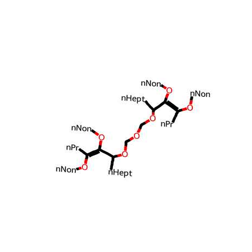 CCCCCCCCCOC(CCC)=C(OCCCCCCCCC)C(CCCCCCC)OCOCOC(CCCCCCC)C(OCCCCCCCCC)=C(CCC)OCCCCCCCCC